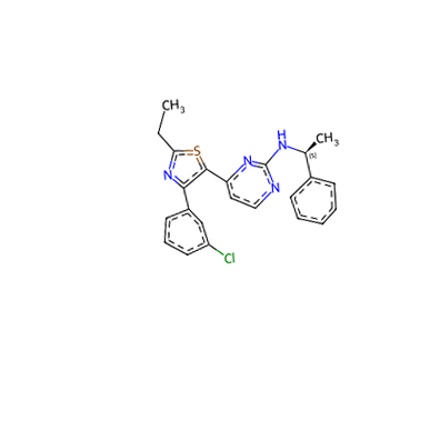 CCc1nc(-c2cccc(Cl)c2)c(-c2ccnc(N[C@@H](C)c3ccccc3)n2)s1